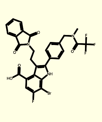 CN(Cc1ccc(-c2[nH]c3c(Br)c(F)cc(C(=O)O)c3c2CCN2C(=O)c3ccccc3C2=O)cc1)C(=O)C(F)(F)F